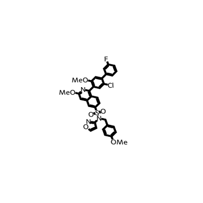 COc1ccc(CN(c2ccon2)S(=O)(=O)c2ccc3c(-c4cc(Cl)c(-c5cccc(F)c5)cc4OC)nc(OC)cc3c2)cc1